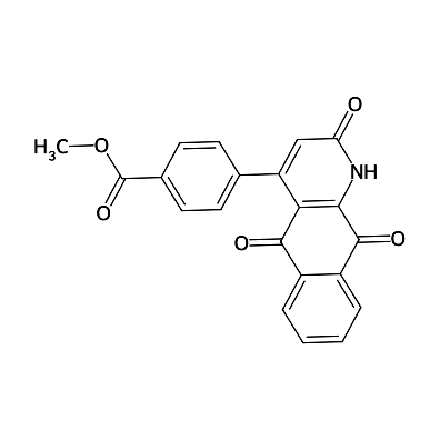 COC(=O)c1ccc(-c2cc(=O)[nH]c3c2C(=O)c2ccccc2C3=O)cc1